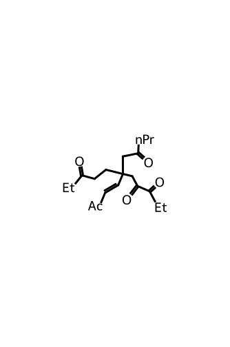 CCCC(=O)CC(C=CC(C)=O)(CCC(=O)CC)CC(=O)C(=O)CC